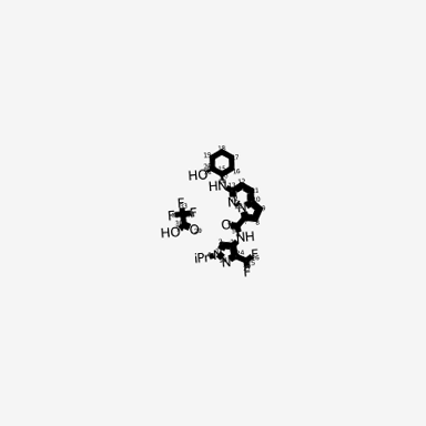 CC(C)n1cc(NC(=O)c2ccc3ccc(N[C@@H]4CCCC[C@@H]4O)nn23)c(C(F)F)n1.O=C(O)C(F)(F)F